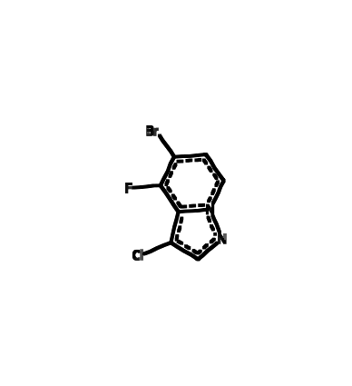 Fc1c(Br)ccn2ncc(Cl)c12